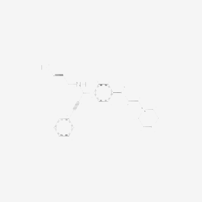 CC=CCNC(C#Cc1ccccc1)c1ccc(OCCN2CCOCC2)cc1